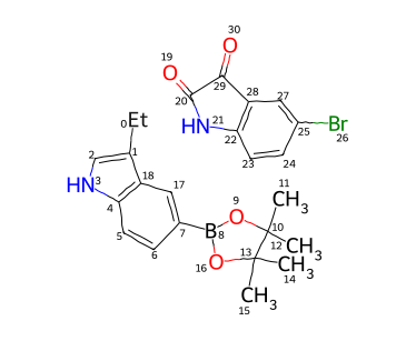 CCc1c[nH]c2ccc(B3OC(C)(C)C(C)(C)O3)cc12.O=C1Nc2ccc(Br)cc2C1=O